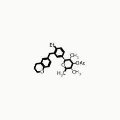 CCc1ccc([C@@H]2OC(C)[C@@H](C)[C@H](OC(C)=O)[C@H]2C)cc1Cc1ccc2c(c1)CCCO2